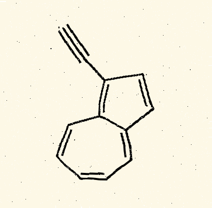 [C]#Cc1[c]cc2cccccc1-2